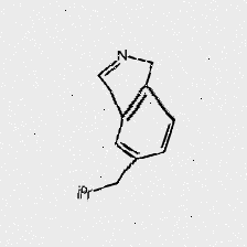 CC(C)Cc1ccc2c(c1)C=NC2